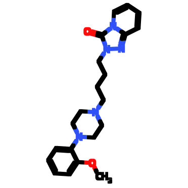 COc1ccccc1N1CCN(CCCCn2nc3ccccn3c2=O)CC1